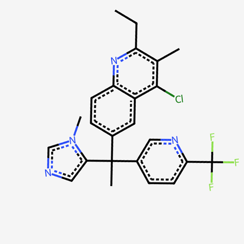 CCc1nc2ccc(C(C)(c3ccc(C(F)(F)F)nc3)c3cncn3C)cc2c(Cl)c1C